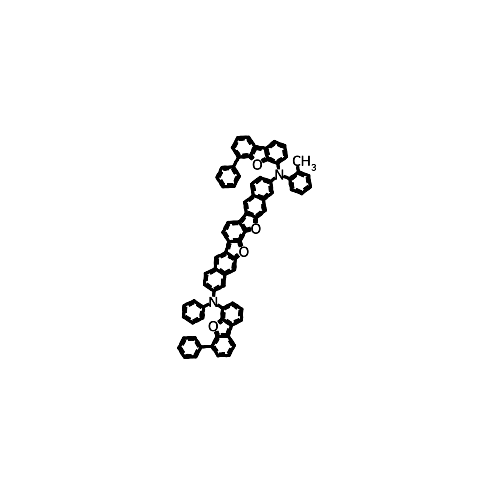 Cc1ccccc1N(c1ccc2cc3c(cc2c1)oc1c3ccc2c3cc4ccc(N(c5ccccc5)c5cccc6c5oc5c(-c7ccccc7)cccc56)cc4cc3oc21)c1cccc2c1oc1c(-c3ccccc3)cccc12